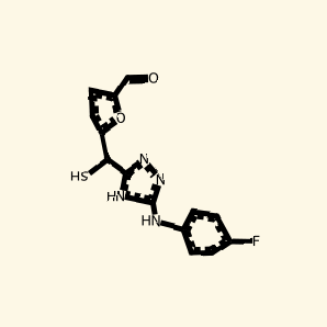 O=Cc1ccc(C(S)c2nnc(Nc3ccc(F)cc3)[nH]2)o1